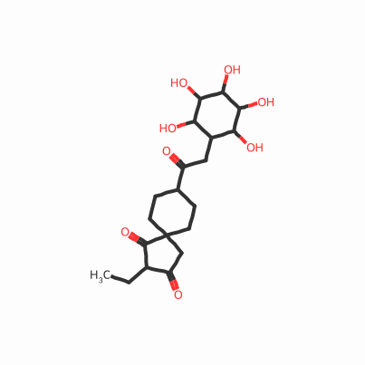 CCC1C(=O)CC2(CCC(C(=O)CC3C(O)C(O)C(O)C(O)C3O)CC2)C1=O